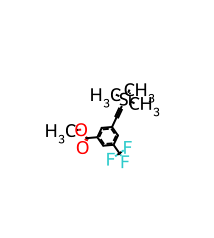 COC(=O)c1cc(C#C[Si](C)(C)C)cc(C(F)(F)F)c1